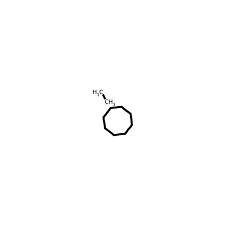 C1CCCCCCC1.CC